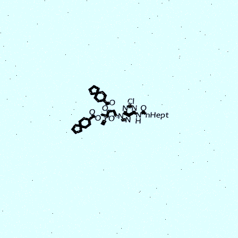 C#C[C@]1(COC(=O)C2CCC3(CCCC3)CC2)O[C@@H](n2cnc3c(NC(=O)CCCCCCC)nc(Cl)nc32)C[C@@H]1OC(=O)C1CCC2(CCCC2)CC1